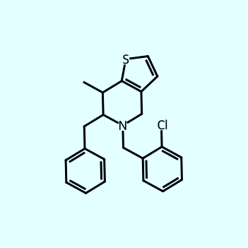 CC1c2sccc2CN(Cc2ccccc2Cl)C1Cc1ccccc1